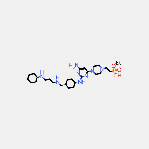 CCOP(=O)(O)CCN1CCN(c2cc(N)nc(N[C@H]3CC[C@H](CNCCCNC4CCCCC4)CC3)n2)CC1